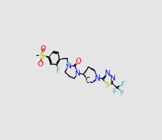 CS(=O)(=O)c1ccc(CN2CCCN(C3CCN(c4nnc(C(F)(F)F)s4)CC3)C2=O)c(F)c1